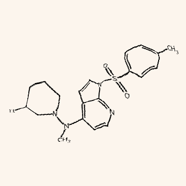 [CH2]CC1CCCN(N(C)c2ccnc3c2ccn3S(=O)(=O)c2ccc(C)cc2)C1